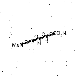 CNCCOCCOCCC(=O)NCCC(=O)NCCOCC(=O)O